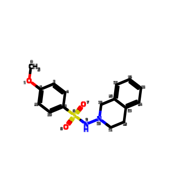 COc1ccc(S(=O)(=O)NN2CCc3ccccc3C2)cc1